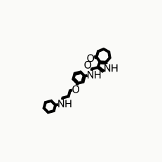 O=C(Nc1cccc(OCCCNC2CCCCC2)c1)c1c[nH]c2c1C(=O)CCCC2